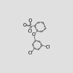 O=S(=O)(Cl)c1ccccc1Oc1cc(Cl)cc(Cl)c1